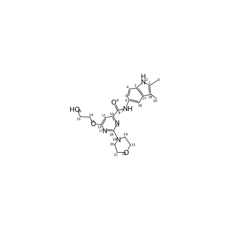 Cc1[nH]c2ccc(NC(=O)c3cc(OCCO)nc(N4CCOCC4)n3)cc2c1C